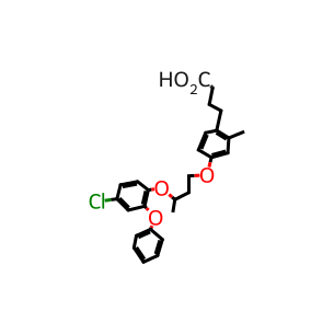 Cc1cc(OCCC(C)Oc2ccc(Cl)cc2Oc2ccccc2)ccc1CCCC(=O)O